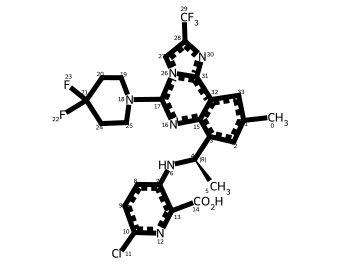 Cc1cc([C@@H](C)Nc2ccc(Cl)nc2C(=O)O)c2nc(N3CCC(F)(F)CC3)n3cc(C(F)(F)F)nc3c2c1